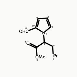 COC(=O)C(CC(C)C)n1cccc1C=O